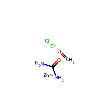 C=O.NC(N)=O.[Cl-].[Cl-].[Zn+2]